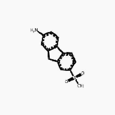 Nc1ccc2c(c1)Cc1cc(S(=O)(=O)O)ccc1-2